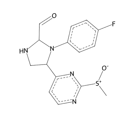 C[S+]([O-])c1nccc(C2CNC(C=O)N2c2ccc(F)cc2)n1